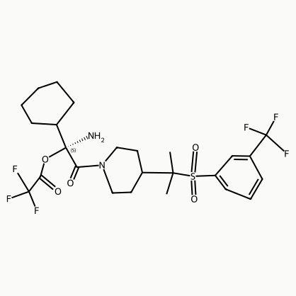 CC(C)(C1CCN(C(=O)[C@@](N)(OC(=O)C(F)(F)F)C2CCCCC2)CC1)S(=O)(=O)c1cccc(C(F)(F)F)c1